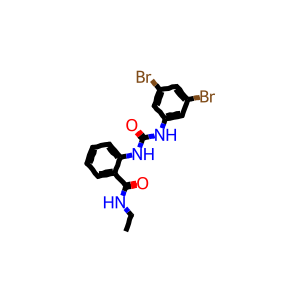 CCNC(=O)c1ccccc1NC(=O)Nc1cc(Br)cc(Br)c1